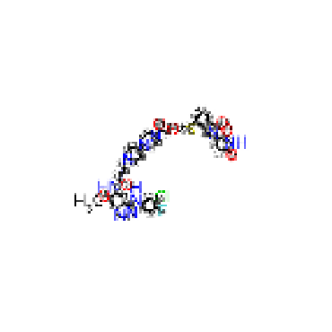 COc1cc2ncnc(Nc3ccc(F)c(Cl)c3)c2cc1NC(=O)/C=C/CN1CCC(N2CCN(C(=O)COCCSc3cccc4c3CN(C3CCC(=O)NC3=O)C4=O)CC2)CC1